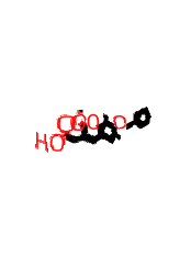 COC(=O)C(=Cc1cc(C)c(OCc2ccccc2)c(C)c1)CC(=O)O